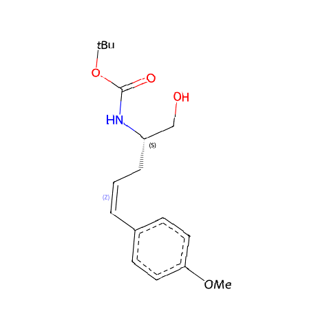 COc1ccc(/C=C\C[C@@H](CO)NC(=O)OC(C)(C)C)cc1